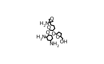 NC1CC(N)[C@@H](O[C@@H]2CCCC(C3(N)COC3)O2)C(OC2CCC(CO)O2)C1